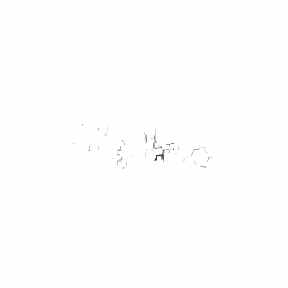 CC(=O)OCC(CS(=O)(=O)CCC(C)(C)NC(=O)OCc1ccccc1)OC(C)=O